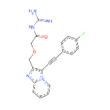 N=C(N)NC(=O)COCc1nc2ccccn2c1C#Cc1ccc(F)cc1